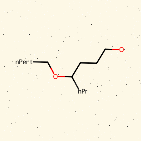 CCCCCCOC(CCC)CCC[O]